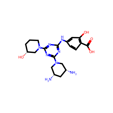 N[C@@H]1C[C@H](N)CN(c2nc(Nc3ccc(C(=O)O)c(O)c3)nc(N3CCC[C@@H](O)C3)n2)C1